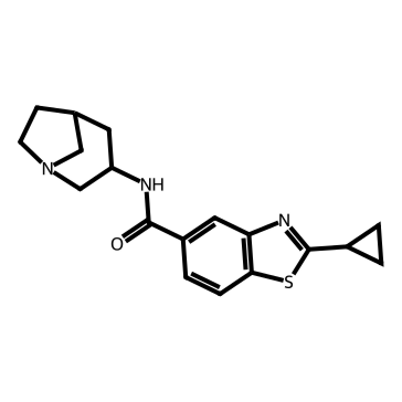 O=C(NC1CC2CCN(C2)C1)c1ccc2sc(C3CC3)nc2c1